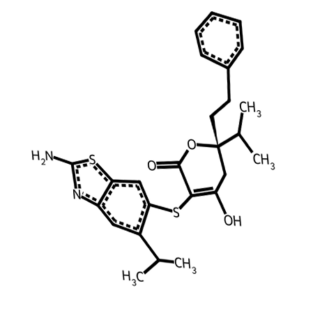 CC(C)c1cc2nc(N)sc2cc1SC1=C(O)C[C@@](CCc2ccccc2)(C(C)C)OC1=O